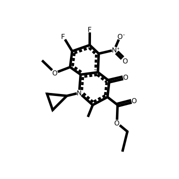 CCOC(=O)c1c(C)n(C2CC2)c2c(OC)c(F)c(F)c([N+](=O)[O-])c2c1=O